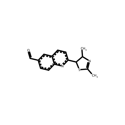 CC1=NC(C)C(c2ccc3cc(C=O)ccc3n2)S1